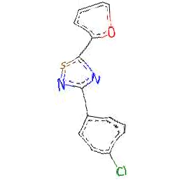 Clc1ccc(-c2nsc(-c3ccco3)n2)cc1